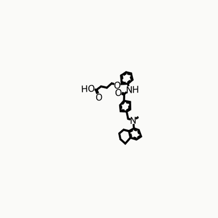 CN(Cc1ccc(C(=O)Nc2ccccc2OCCCC(=O)O)cc1)c1cccc2c1CCCC2